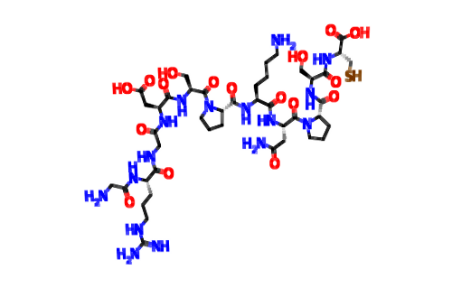 N=C(N)NCCC[C@H](NC(=O)CN)C(=O)NCC(=O)N[C@@H](CC(=O)O)C(=O)N[C@@H](CO)C(=O)N1CCC[C@H]1C(=O)N[C@@H](CCCCN)C(=O)N[C@@H](CC(N)=O)C(=O)N1CCC[C@H]1C(=O)N[C@@H](CO)C(=O)N[C@@H](CS)C(=O)O